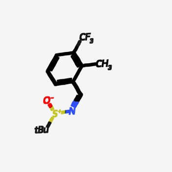 Cc1c(/C=N\[S+]([O-])C(C)(C)C)cccc1C(F)(F)F